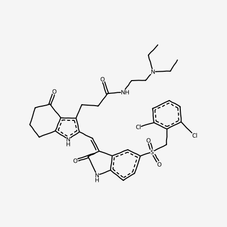 CCN(CC)CCNC(=O)CCc1c(C=C2C(=O)Nc3ccc(S(=O)(=O)Cc4c(Cl)cccc4Cl)cc32)[nH]c2c1C(=O)CCC2